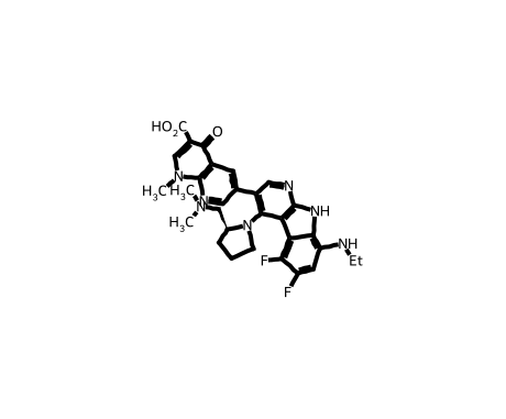 CCNc1cc(F)c(F)c2c1[nH]c1ncc(-c3cnc4c(c3)c(=O)c(C(=O)O)cn4C)c(N3CCC[C@H]3CN(C)C)c12